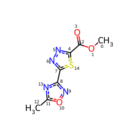 COC(=O)c1nnc(-c2noc(C)n2)s1